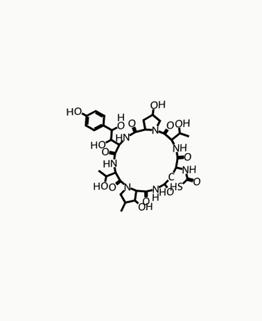 CC(O)C1NC(=O)C(NC(=O)S)CC(O)NC(=O)C2C(O)C(C)CN2C(=O)C(C(C)O)NC(=O)C(C(O)C(O)c2ccc(O)cc2)NC(=O)C2CC(O)CN2C1=O